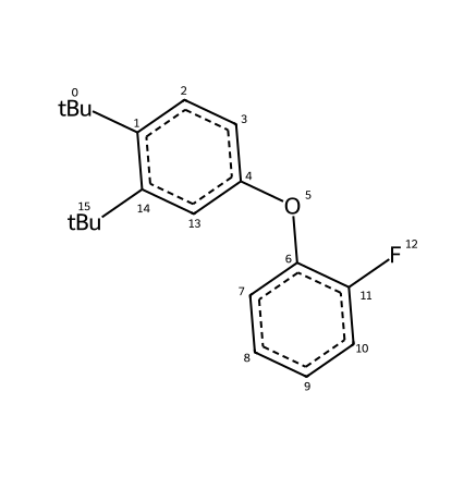 CC(C)(C)c1ccc(Oc2ccccc2F)cc1C(C)(C)C